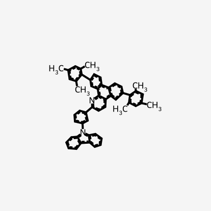 Cc1cc(C)c(-c2ccc3c(c2)c2ccc(-c4cccc(-n5c6ccccc6c6ccccc65)c4)nc2c2cc(-c4c(C)cc(C)cc4C)ccc32)c(C)c1